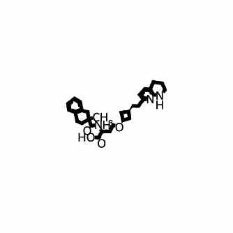 CC1(C(=O)NC(CCO[C@H]2C[C@H](CCc3ccc4c(n3)NCCC4)C2)C(=O)O)CCc2ccccc2C1